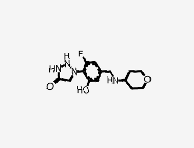 O=C1CN(c2c(O)cc(CNC3CCOCC3)cc2F)NN1